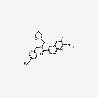 Cc1cc2cc(C(=O)N(Cc3ccc(C(F)(F)F)cn3)C(C)C3CCCO3)ccc2nc1N